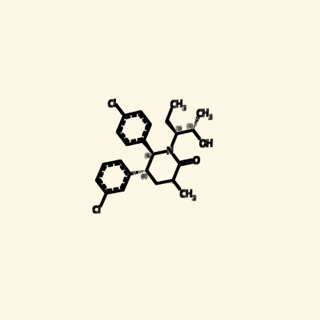 CC[C@@H]([C@H](C)O)N1C(=O)[C](C)C[C@H](c2cccc(Cl)c2)[C@H]1c1ccc(Cl)cc1